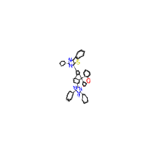 c1ccc(-c2nc(-c3ccccc3)nc(-c3ccc4c(c3)C3(c5ccccc5Oc5ccccc53)c3ccc(-c5nc(-c6ccccc6)nc6c5sc5ccccc56)cc3-4)n2)cc1